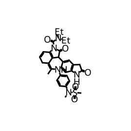 CCN(CC)C(=O)N1C(=O)C(c2ccc3c(c2)CC(=O)N3)C2=C1C=CCC2=C(C)Nc1ccc(N(C)S(C)(=O)=O)cc1